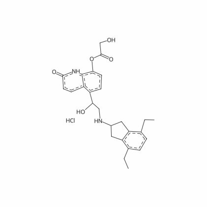 CCc1ccc(CC)c2c1CC(NCC(O)c1ccc(OC(=O)CO)c3[nH]c(=O)ccc13)C2.Cl